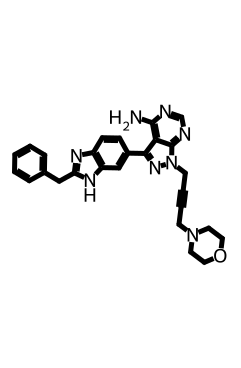 Nc1ncnc2c1c(-c1ccc3nc(Cc4ccccc4)[nH]c3c1)nn2CC#CCN1CCOCC1